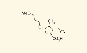 COCCCO[C@H]1CN(C(=O)O)[C@@H](CC#N)[C@@H]1C